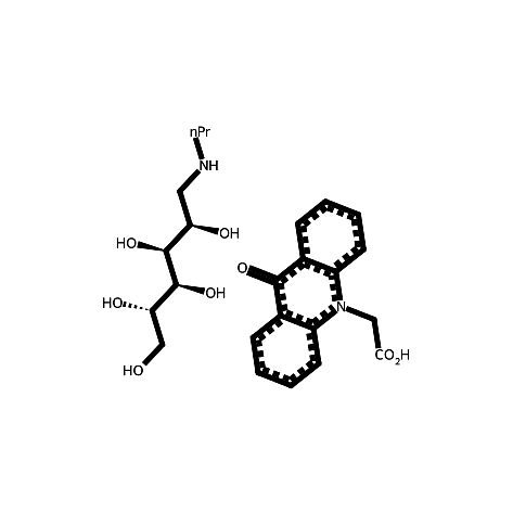 CCCNC[C@@H](O)[C@H](O)[C@@H](O)[C@@H](O)CO.O=C(O)Cn1c2ccccc2c(=O)c2ccccc21